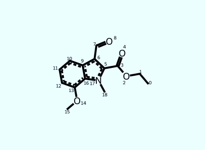 CCOC(=O)c1c(C=O)c2cccc(OC)c2n1C